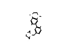 COc1ccc(CN2C(=O)CSC2=O)cc1-c1cc2c(cc1C)N(C(C)C)CCN2C(C)C